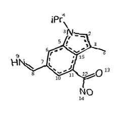 Cc1cn(C(C)C)c2cc(C=N)cc(C(=O)N=O)c12